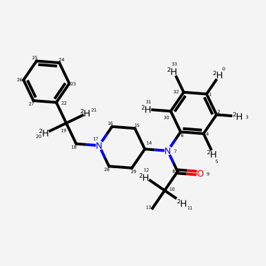 [2H]c1c([2H])c([2H])c(N(C(=O)C([2H])([2H])C)C2CCN(CC([2H])([2H])c3ccccc3)CC2)c([2H])c1[2H]